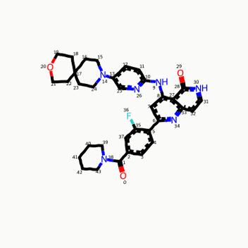 O=C(c1ccc(-c2cc(Nc3ccc(N4CCC5(CCOCC5)CC4)cn3)c3c(=O)[nH]ccc3n2)c(F)c1)N1CCCCC1